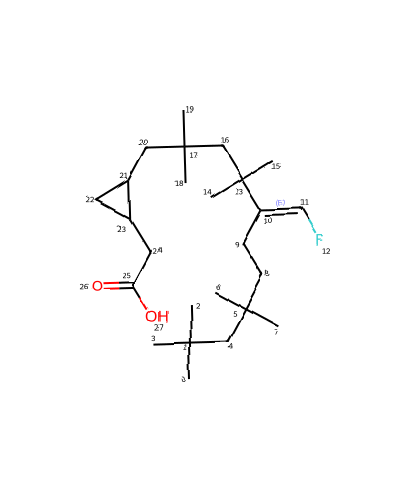 CC(C)(C)CC(C)(C)CC/C(=C\F)C(C)(C)CC(C)(C)CC1CC1CC(=O)O